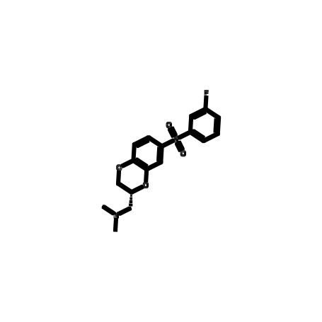 CN(C)C[C@@H]1COc2ccc(S(=O)(=O)c3cccc(F)c3)cc2O1